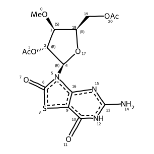 CO[C@@H]1[C@@H](OC(C)=O)[C@H](n2c(=O)sc3c(=O)[nH]c(N)nc32)O[C@@H]1COC(C)=O